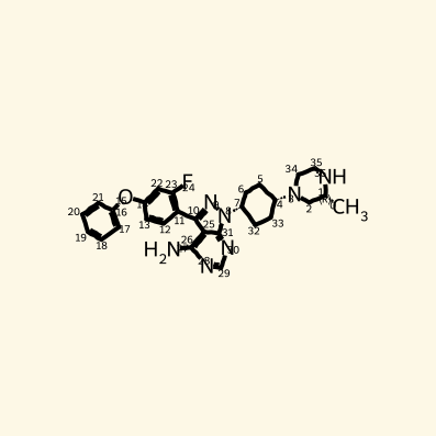 C[C@@H]1CN([C@H]2CC[C@@H](n3nc(-c4ccc(Oc5ccccc5)cc4F)c4c(N)ncnc43)CC2)CCN1